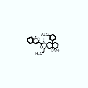 C=CCN1CC2(OC)CCCC[C@@]2(c2cccc(OC(C)=O)c2)C[C@H]1NC(=O)C(=Cc1ccccc1)OC(F)(F)F